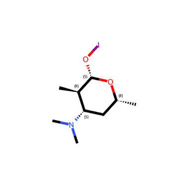 C[C@H]1[C@H](OI)O[C@H](C)C[C@@H]1N(C)C